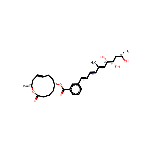 CC(/C=C/C=C/c1cccc(C(=O)O[C@@H]2CC/C=C/C[C@H](C(C)C)OC(=O)CCC2)c1)=C\[C@H](O)[C@@H](O)C[C@H](C)O